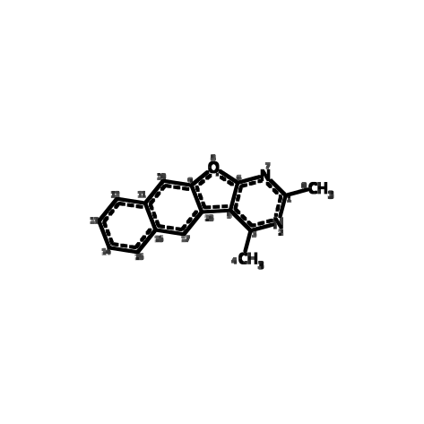 Cc1nc(C)c2c(n1)oc1cc3ccccc3cc12